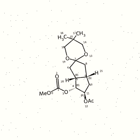 COC(=O)O[C@@H]1[C@@H]2CC3(C[C@@H]2C[C@H]1OC(C)=O)OCC(C)(C)CO3